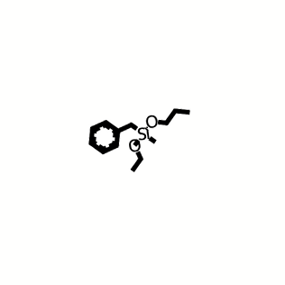 CCCO[Si](C)(Cc1ccccc1)OCC